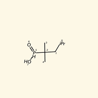 CC(C)CC(C)(C)[PH](=O)O